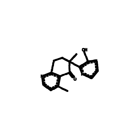 Cc1ccnc2c1C(=O)C(C)(c1ncccc1O)CC2